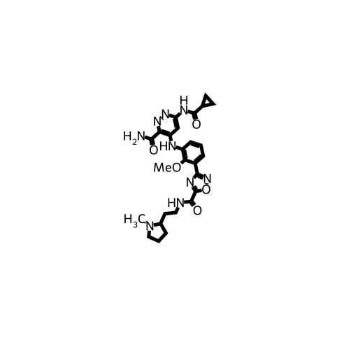 COc1c(Nc2cc(NC(=O)C3CC3)nnc2C(N)=O)cccc1-c1noc(C(=O)NCCC2CCCN2C)n1